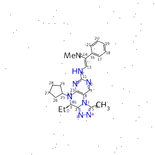 CC[C@@H]1c2nnc(C)n2-c2cnc(N/C=C(\NC)c3ccccc3)nc2N1C1CCCC1